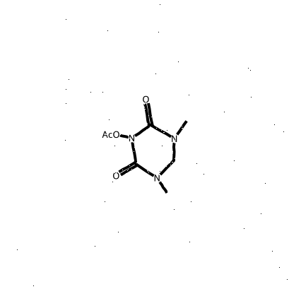 CC(=O)ON1C(=O)N(C)CN(C)C1=O